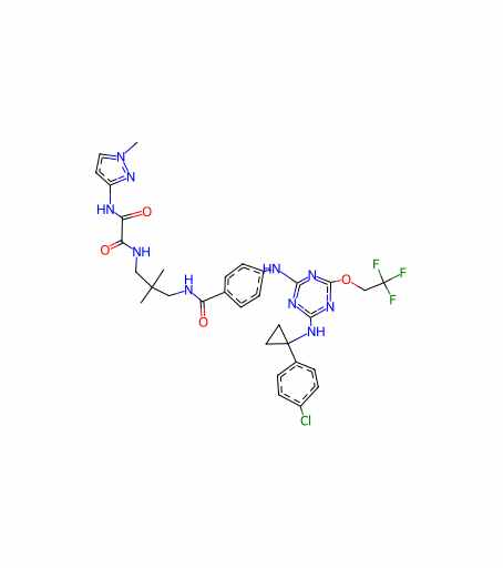 Cn1ccc(NC(=O)C(=O)NCC(C)(C)CNC(=O)c2ccc(Nc3nc(NC4(c5ccc(Cl)cc5)CC4)nc(OCC(F)(F)F)n3)cc2)n1